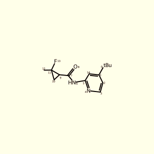 CC(C)(C)c1ccnc(NC(=O)C2CC2(C)F)c1